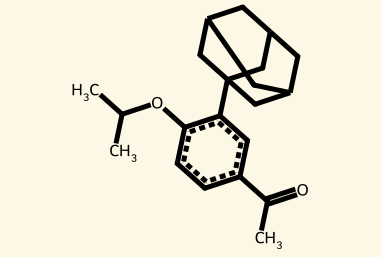 CC(=O)c1ccc(OC(C)C)c(C23CC4CC(CC(C4)C2)C3)c1